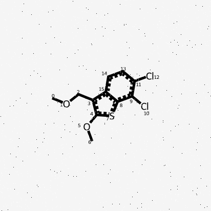 COCc1c(OC)sc2c(Cl)c(Cl)ccc12